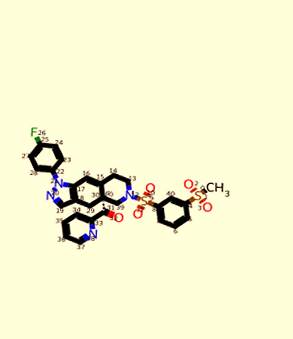 CS(=O)(=O)c1cccc(S(=O)(=O)N2CCC3=Cc4c(cnn4-c4ccc(F)cc4)C[C@]3(C(=O)c3ccccn3)C2)c1